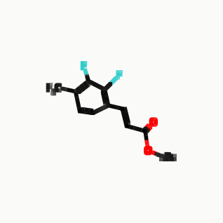 CCCCOC(=O)/C=C/c1ccc(C(F)(F)F)c(F)c1F